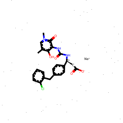 Cc1cn(C)c(=O)c(NC(=O)N[C@@H](CC(=O)[O-])c2ccc(Cc3ccccc3Cl)cc2)c1O.[Na+]